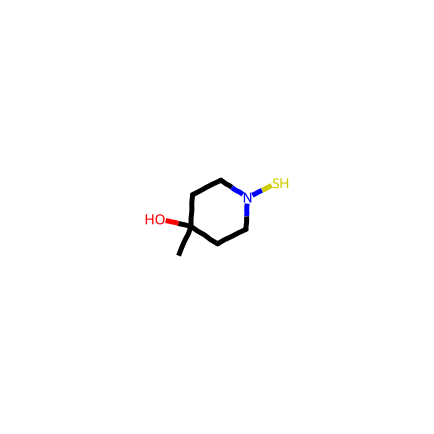 CC1(O)CCN(S)CC1